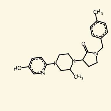 Cc1ccc(CN2CCC(N3CCN(c4ccc(O)cn4)CC3C)C2=O)cc1